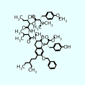 CCC(CC)CCc1cc2c(cc1OCc1ccccc1)N([C@@H](Cc1ccc(O)cc1)C(=O)OC)C(=O)[C@@H](N(C)C(=O)[C@@H](NC(=O)[C@H](OC(=O)[C@H](Cc1ccc(OC)cc1)N(C)C)[C@@H](C)CC)C(C)C)C2